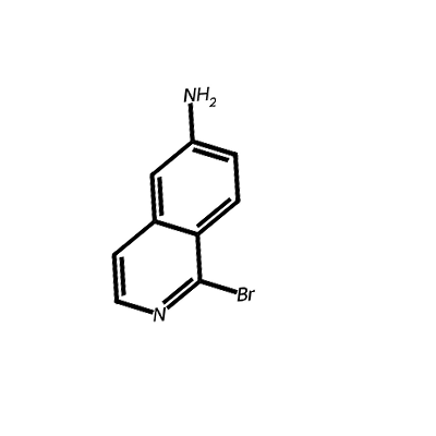 Nc1ccc2c(Br)nccc2c1